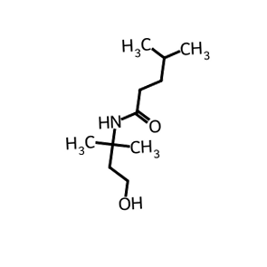 CC(C)CCC(=O)NC(C)(C)CCO